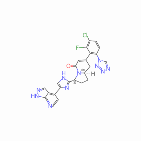 O=C1C=C(c2c(-n3cnnn3)ccc(Cl)c2F)C[C@H]2CC[C@@H](c3nc(-c4ccnc5[nH]ncc45)c[nH]3)N12